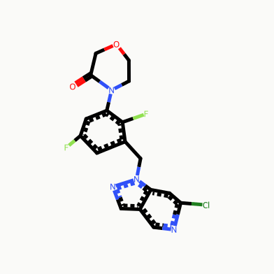 O=C1COCCN1c1cc(F)cc(Cn2ncc3cnc(Cl)cc32)c1F